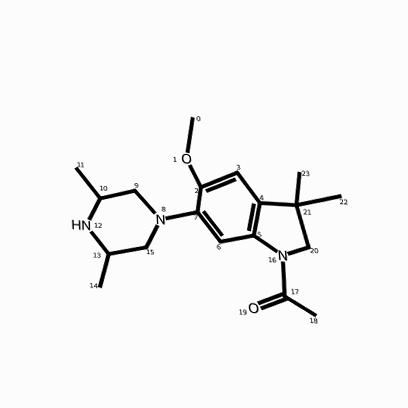 COc1cc2c(cc1N1CC(C)NC(C)C1)N(C(C)=O)CC2(C)C